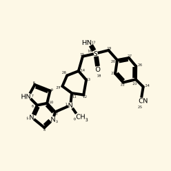 CN(c1ncnc2[nH]ccc12)C1CCC(CS(=N)(=O)Cc2ccc(CC#N)cc2)CC1